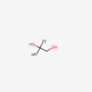 CCCC(O)(CC)CO